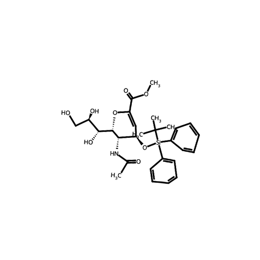 COC(=O)C1=C[C@@H](O[Si](c2ccccc2)(c2ccccc2)C(C)(C)C)[C@H](NC(C)=O)[C@H]([C@H](O)[C@H](O)CO)O1